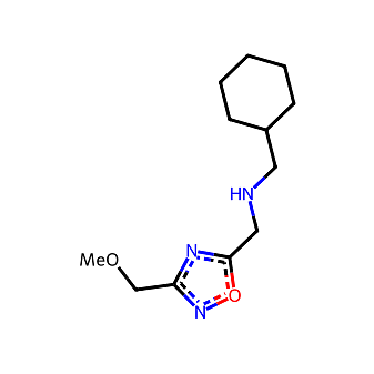 COCc1noc(CNCC2CCCCC2)n1